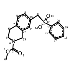 COC(=O)N1CCc2ccc(CS(=O)(=O)c3ccccc3)cc2C1